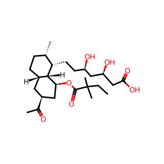 CCC(C)(C)C(=O)O[C@H]1C[C@@H](C(C)=O)C[C@@H]2CC[C@H](C)[C@H](CC[C@@H](O)C[C@@H](O)CC(=O)O)[C@@H]21